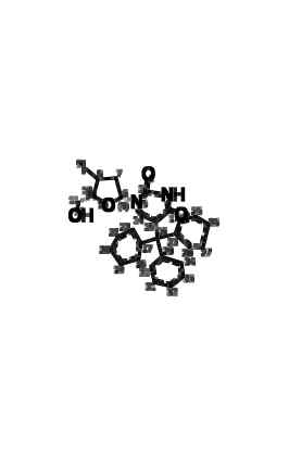 O=c1[nH]c(=O)n([C@H]2CC(I)[C@@H](CO)O2)cc1C(c1ccccc1)(c1ccccc1)c1ccccc1